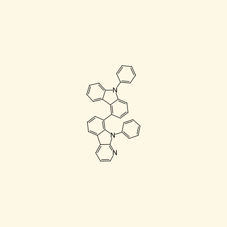 c1ccc(-n2c3ccccc3c3c(-c4cccc5c6cccnc6n(-c6ccccc6)c45)cccc32)cc1